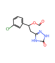 O=COC(Cc1n[nH]c(=O)[nH]1)c1cccc(Cl)c1